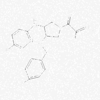 C=C(F)C(=O)N1CC(Nc2ccc(F)cn2)C(OCc2ccc(C(F)(F)F)cc2)C1